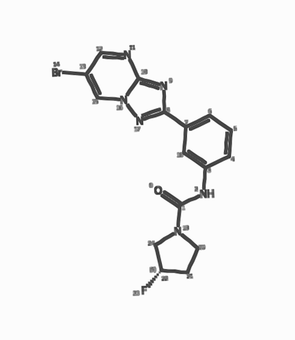 O=C(Nc1cccc(-c2nc3ncc(Br)cn3n2)c1)N1CC[C@H](F)C1